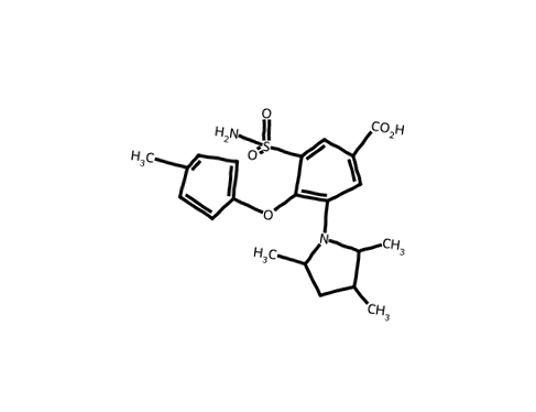 Cc1ccc(Oc2c(N3C(C)CC(C)C3C)cc(C(=O)O)cc2S(N)(=O)=O)cc1